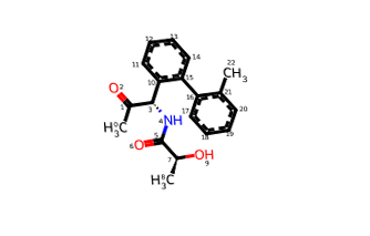 CC(=O)[C@@H](NC(=O)[C@H](C)O)c1ccccc1-c1ccccc1C